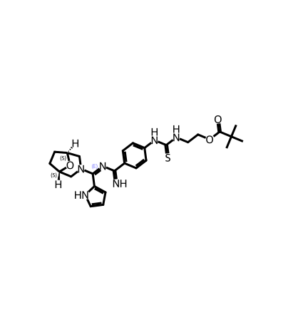 CC(C)(C)C(=O)OCCNC(=S)Nc1ccc(C(=N)/N=C(\c2ccc[nH]2)N2C[C@@H]3CC[C@@H](C2)O3)cc1